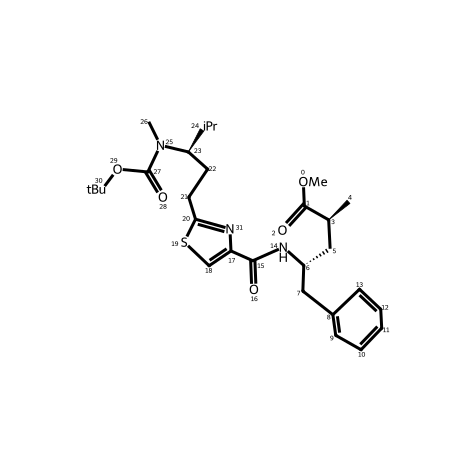 COC(=O)[C@@H](C)C[C@H](Cc1ccccc1)NC(=O)c1csc(CC[C@H](C(C)C)N(C)C(=O)OC(C)(C)C)n1